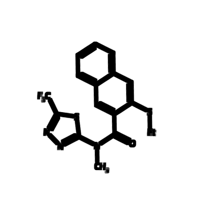 CCSc1cc2ccccc2cc1C(=O)N(C)c1nnc(C(F)(F)F)s1